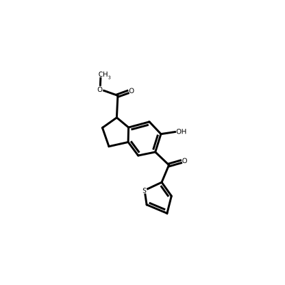 COC(=O)C1CCc2cc(C(=O)c3cccs3)c(O)cc21